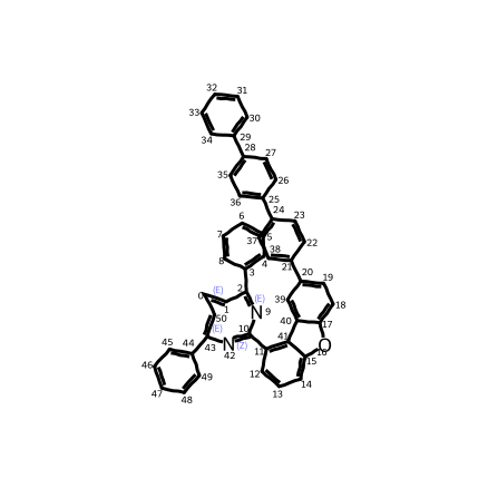 C1=C/C(c2ccccc2)=N\C(c2cccc3oc4ccc(-c5ccc(-c6ccc(-c7ccccc7)cc6)cc5)cc4c23)=N/C(c2ccccc2)=C/1